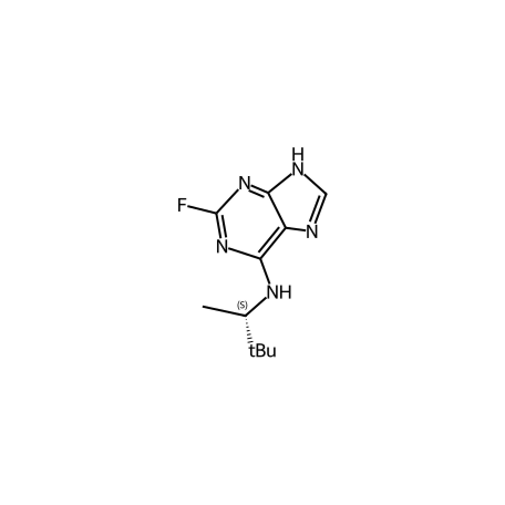 C[C@H](Nc1nc(F)nc2[nH]cnc12)C(C)(C)C